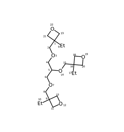 CCC1(COCC(COCC2(CC)COC2)OCC2(CC)COC2)COC1